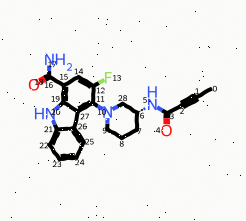 CC#CC(=O)N[C@@H]1CCCN(c2c(F)cc(C(N)=O)c3[nH]c4ccccc4c23)C1